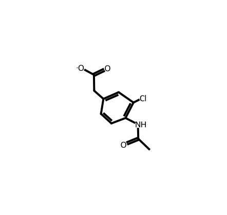 CC(=O)Nc1ccc(CC([O])=O)cc1Cl